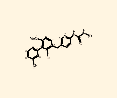 CCNC(=O)Nc1ccc(Cc2ccc(OC)c(-c3cccc(C#N)c3)c2F)cn1